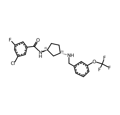 O=C(N[C@H]1CC[C@H](NCc2cccc(OC(F)(F)F)c2)C1)c1cc(F)cc(Cl)c1